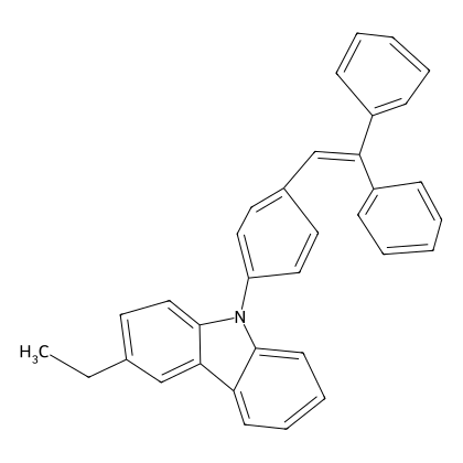 CCc1ccc2c(c1)c1ccccc1n2-c1ccc(C=C(c2ccccc2)c2ccccc2)cc1